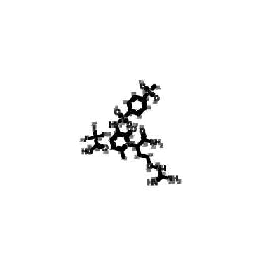 Cc1ccc(NS(=O)(=O)c2ccc(S(C)(=O)=O)cc2)c(=O)n1C(CCONC(=N)N)C(N)=O.O=C(O)C(F)(F)F